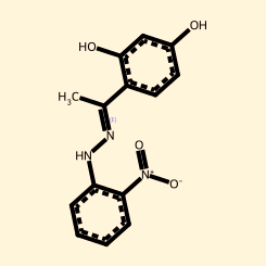 C/C(=N\Nc1ccccc1[N+](=O)[O-])c1ccc(O)cc1O